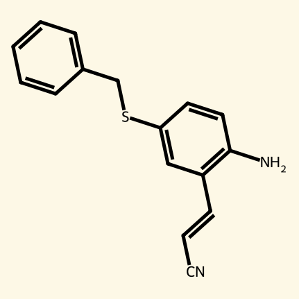 N#CC=Cc1cc(SCc2ccccc2)ccc1N